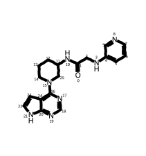 O=C(CNc1cccnc1)NC1CCCN(c2ncnc3[nH]ccc23)C1